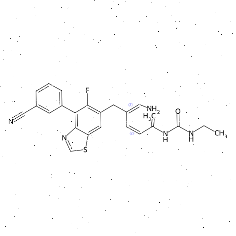 C=C(/C=C\C(=C/N)Cc1cc2scnc2c(-c2cccc(C#N)c2)c1F)NC(=O)NCC